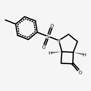 Cc1ccc(S(=O)(=O)N2CC[C@H]3C(=O)C[C@H]32)cc1